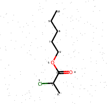 [CH2]C(Cl)C(=O)OCCCCC